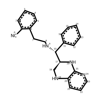 N#Cc1ccccc1CCN[C@H](c1ccccc1)[C@@H]1CNc2cccnc2N1